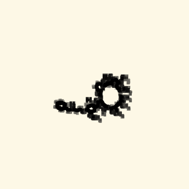 CCC1/C=C(\C)C(F)C(C)CC(OC)C2OC(O)(C(=O)C(=O)N3CCCCC3C(=O)OC(C(C)=CC3CCC(OCCNCc4ccccc4)C(OC)C3)C(C)C(O)CC1=O)C(C)CC2OC